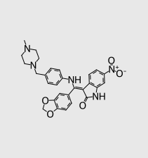 CN1CCN(Cc2ccc(NC(=C3C(=O)Nc4cc([N+](=O)[O-])ccc43)c3ccc4c(c3)OCO4)cc2)CC1